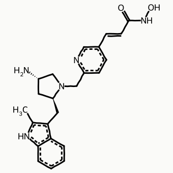 Cc1[nH]c2ccccc2c1C[C@H]1C[C@H](N)CN1Cc1ccc(/C=C/C(=O)NO)cn1